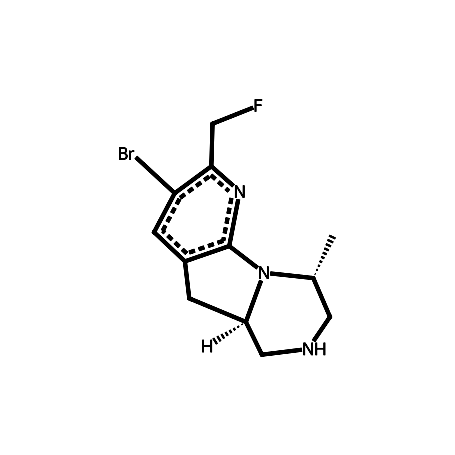 C[C@@H]1CNC[C@H]2Cc3cc(Br)c(CF)nc3N21